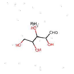 O=CC(O)C(O)C(O)CO.[PbH2]